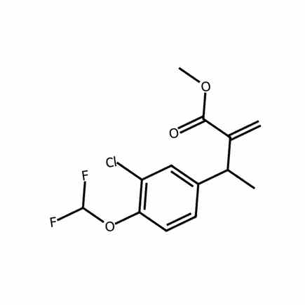 C=C(C(=O)OC)C(C)c1ccc(OC(F)F)c(Cl)c1